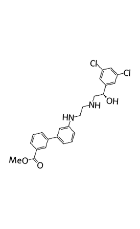 COC(=O)c1cccc(-c2cccc(NCCNC[C@H](O)c3cc(Cl)cc(Cl)c3)c2)c1